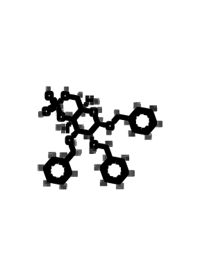 O=S1(=O)OC[C@H]2O[C@@H](OCc3ccccc3)[C@H](OCc3ccccc3)[C@@H](OCc3ccccc3)[C@H]2O1